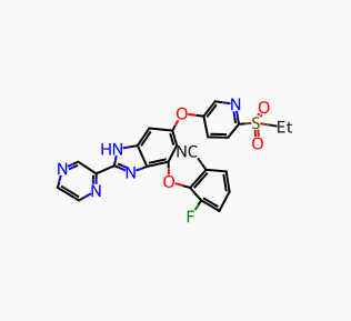 CCS(=O)(=O)c1ccc(Oc2cc(Oc3c(F)cccc3C#N)c3nc(-c4cnccn4)[nH]c3c2)cn1